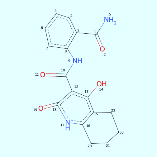 NC(=O)c1ccccc1NC(=O)c1c(O)c2c([nH]c1=O)CCCC2